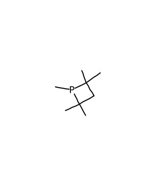 CP1C(C)(C)CC1(C)C